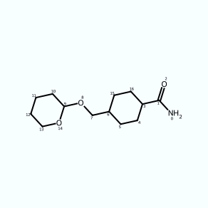 NC(=O)C1CCC(COC2CCCCO2)CC1